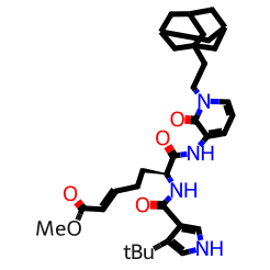 COC(=O)/C=C/CC[C@H](NC(=O)c1c[nH]cc1C(C)(C)C)C(=O)Nc1cccn(CCC23CC4CC(CC(C4)C2)C3)c1=O